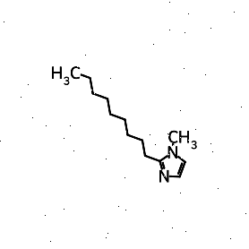 CCCCCCCCCc1nccn1C